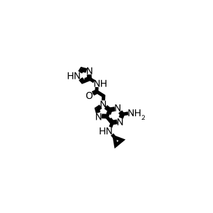 Nc1nc(NC2CC2)c2ncn(CC(=O)Nc3c[nH]cn3)c2n1